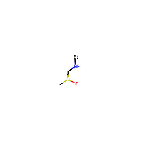 CCNC[S+](C)[O-]